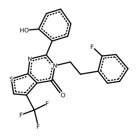 O=c1c2c(C(F)(F)F)csc2nc(-c2ccccc2O)n1CCc1ccccc1F